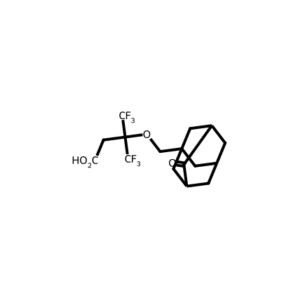 O=C(O)CC(OCC12CC3CC(C1)C(=O)C(C3)C2)(C(F)(F)F)C(F)(F)F